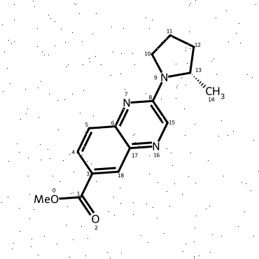 COC(=O)c1ccc2nc(N3CCC[C@@H]3C)cnc2c1